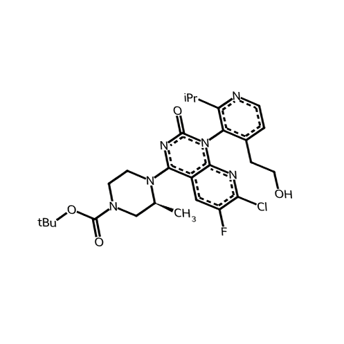 CC(C)c1nccc(CCO)c1-n1c(=O)nc(N2CCN(C(=O)OC(C)(C)C)C[C@@H]2C)c2cc(F)c(Cl)nc21